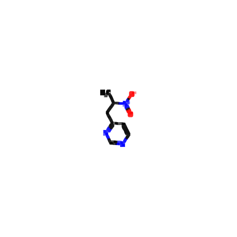 CC(Cc1ccncn1)[N+](=O)[O-]